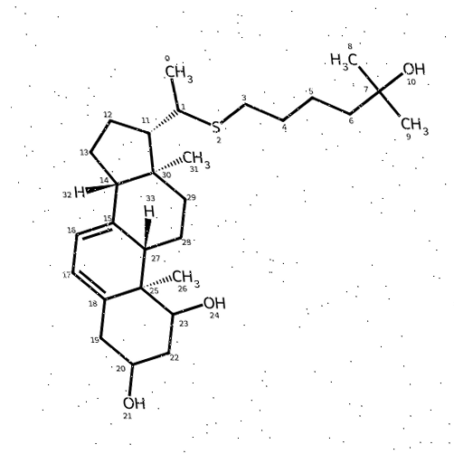 CC(SCCCCC(C)(C)O)[C@H]1CC[C@H]2C3=CC=C4CC(O)CC(O)[C@]4(C)[C@H]3CC[C@]12C